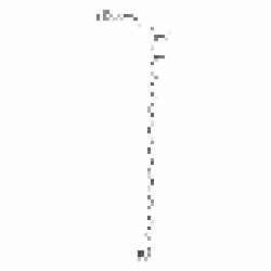 CCCCCCCCCCCCCC(=O)OC(=O)CCCCCCCCCCCCCCCCCCO